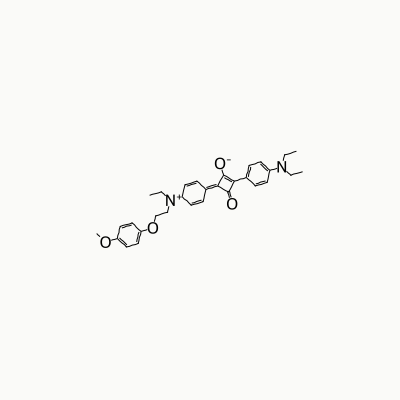 CCN(CC)c1ccc(C2=C([O-])C(=C3C=CC(=[N+](CC)CCOc4ccc(OC)cc4)C=C3)C2=O)cc1